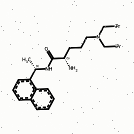 CC(C)CN(CCC[C@H](N)C(=O)N[C@@H](C)c1cccc2ccccc12)CC(C)C